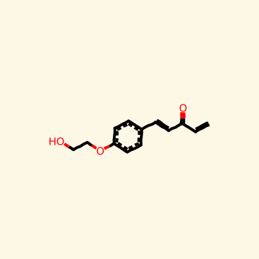 C=CC(=O)C=Cc1ccc(OCCO)cc1